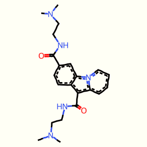 CN(C)CCNC(=O)c1ccc2c(C(=O)NCCN(C)C)c3ccccn3c2c1